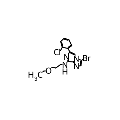 CCOCCCNc1nc(-c2ccccc2Cl)cn2c(Br)cnc12